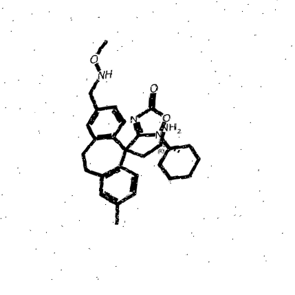 CONCc1ccc2c(c1)CCc1cc(C)ccc1C2(C[C@@H](C)N)c1nc(=O)on1C1CCCCC1